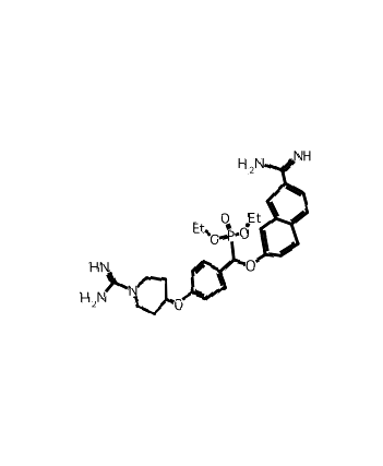 CCOP(=O)(OCC)C(Oc1ccc2ccc(C(=N)N)cc2c1)c1ccc(OC2CCN(C(=N)N)CC2)cc1